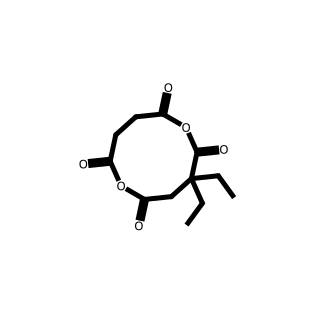 CCC1(CC)CC(=O)OC(=O)CCC(=O)OC1=O